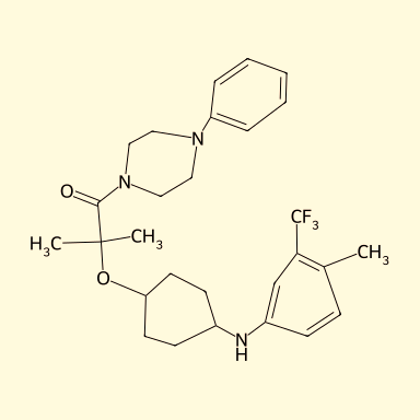 Cc1ccc(NC2CCC(OC(C)(C)C(=O)N3CCN(c4ccccc4)CC3)CC2)cc1C(F)(F)F